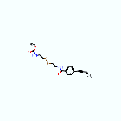 C=CC#Cc1ccc(C(=O)NCCSSCCNC(=O)OC(C)(C)C)cc1